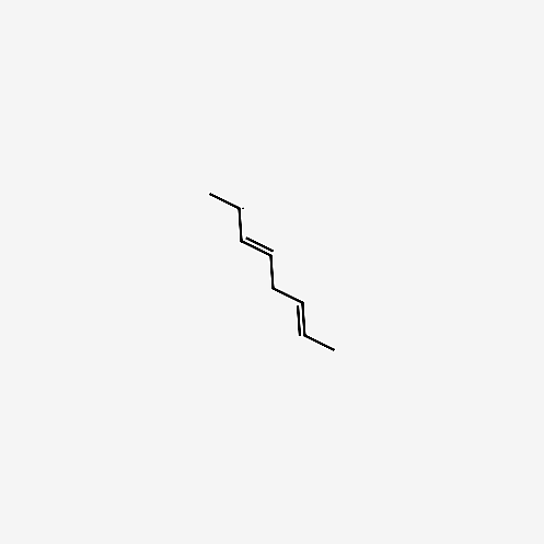 C[CH]C=CC/C=C/C